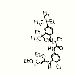 CCOC(=O)C=C(Nc1cc(NC(=O)C(CC)Oc2ccc(C(C)(C)CC)cc2C(C)(C)CC)ccc1Cl)OCC